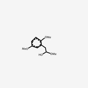 COc1ccc(OC)c(CC(O)OC)c1